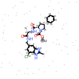 Cc1nc2cc(CNC(=O)[C@H](C)NC(=O)[C@H]3C[C@H](c4ccccc4)CN3C(=O)OC(C)(C)C)cc(Cl)c2[nH]1